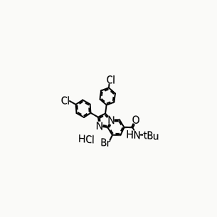 CC(C)(C)NC(=O)c1cc(Br)c2nc(-c3ccc(Cl)cc3)c(-c3ccc(Cl)cc3)n2c1.Cl